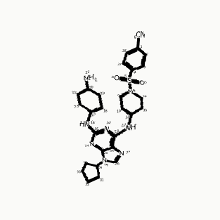 N#Cc1ccc(S(=O)(=O)N2CCC(Nc3nc(NC4CCC(N)CC4)nc4c3ncn4C3CCCC3)CC2)cc1